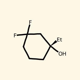 CC[C@@]1(O)CCCC(F)(F)C1